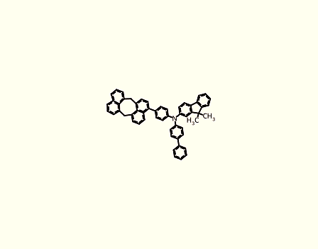 CC1(C)c2ccccc2-c2ccc(N(c3ccc(-c4ccccc4)cc3)c3ccc(-c4ccc5c6c(cccc46)Cc4cccc6cccc(c46)C5)cc3)cc21